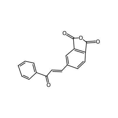 O=C(C=Cc1ccc2c(c1)C(=O)OC2=O)c1ccccc1